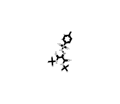 Cc1ccc(S(=O)(=O)ON=C(C(=O)OC(C)(C)C)C(=O)OC(C)(C)C)cc1